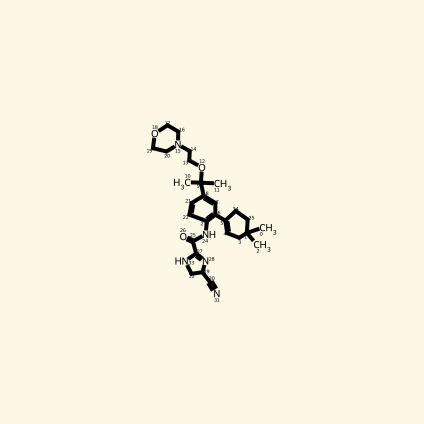 CC1(C)CC=C(c2cc(C(C)(C)OCCN3CCOCC3)ccc2NC(=O)C2=NC(C#N)CN2)CC1